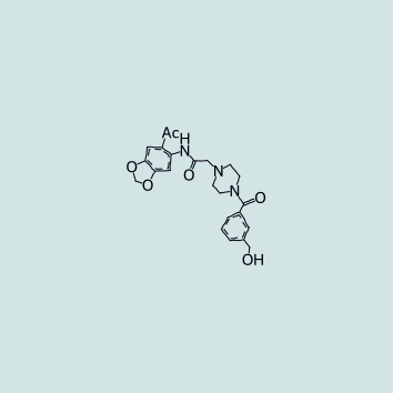 CC(=O)c1cc2c(cc1NC(=O)CN1CCN(C(=O)c3cccc(CO)c3)CC1)OCO2